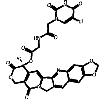 CC[C@@]1(OC(=O)CNC(=O)Cn2cc(Cl)c(=O)[nH]c2=O)C(=O)OCc2c1cc1n(c2=O)Cc2cc3cc4c(cc3nc2-1)OCO4